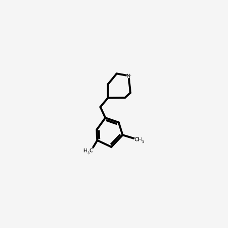 Cc1cc(C)cc(CC2CC[N]CC2)c1